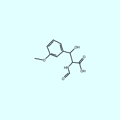 COc1cccc(C(O)C(NC=O)C(=O)O)c1